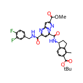 COC(=O)c1cc2nc(C(=O)NCc3ccc(F)c(F)c3)cc(C(=O)N[C@H]3CCc4c3ccc(C(=O)OC(C)(C)C)c4C)n2n1